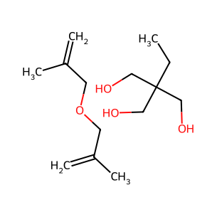 C=C(C)COCC(=C)C.CCC(CO)(CO)CO